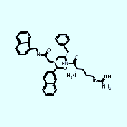 N=C(N)NCCC[C@H](N)C(=O)N[C@@H](Cc1ccccc1)CN(CC(=O)NCc1cccc2ccccc12)C(=O)c1ccc2ccccc2c1